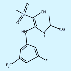 CC(NC(Nc1cc(F)cc(C(F)(F)F)c1)=C(C#N)S(C)(=O)=O)C(C)(C)C